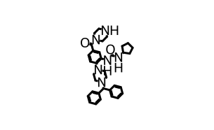 O=C(Nc1cc(C(=O)N2CCNCC2)ccc1N1CCN(C(c2ccccc2)c2ccccc2)CC1)NC1CCCC1